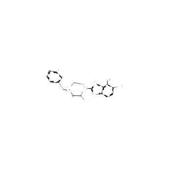 Cc1ccc2oc(N3CCN(Cc4ccccc4)CC3C(C)C)nc2c1C(=O)O